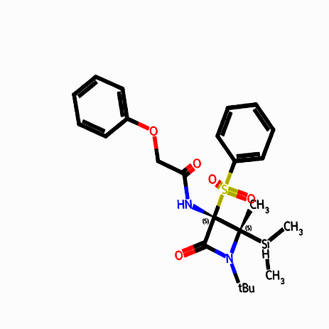 C[SiH](C)[C@]1(C)N(C(C)(C)C)C(=O)[C@]1(NC(=O)COc1ccccc1)S(=O)(=O)c1ccccc1